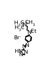 CCN(CC[N+](C)(C)C)c1ccc(/N=N/c2ncn[nH]2)cc1.[Br-]